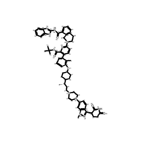 Cc1c(OC2CCC([C@@H](C)CCN3CCN(c4ccc5c(C6CCC(=O)NC6=O)nn(C)c5c4)CC3)CC2)cccc1-c1ccc(N2CCc3cccc(C(=O)Nc4nc5ccccc5s4)c3C2)nc1C(=O)OC(C)(C)C